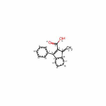 C=C1C(C(=O)O)=C(c2ccccc2)c2ccccc21